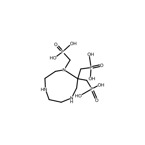 O=P(O)(O)CN1CCNCCNCC1(CP(=O)(O)O)CP(=O)(O)O